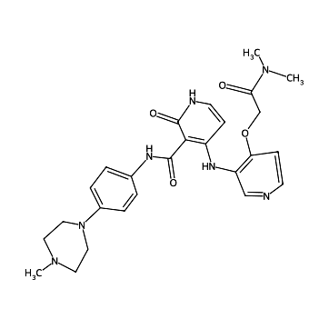 CN1CCN(c2ccc(NC(=O)c3c(Nc4cnccc4OCC(=O)N(C)C)cc[nH]c3=O)cc2)CC1